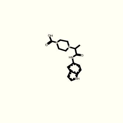 CC(C(=O)Nc1ccc2[nH]ccc2c1)N1CCN(C(=O)O)CC1